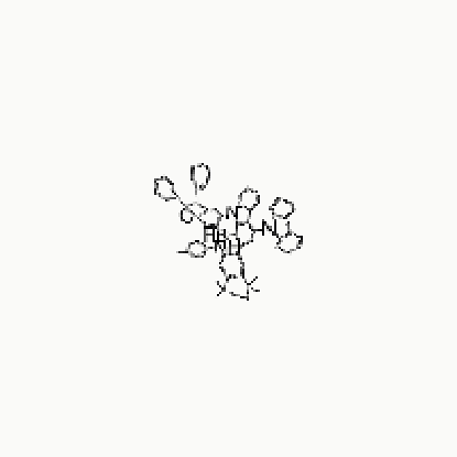 Cc1ccc(Nc2cc3c(cc2-c2cc(-n4c5ccccc5c5ccccc54)c4c5ccccc5n5c4c2Bc2cc4oc(-c6ccccc6)c(-c6ccccc6)c4cc2-5)C(C)(C)CCC3(C)C)cc1